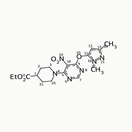 CCOC(=O)C1CCN(c2ncnc(Oc3cc(C)nn3C)c2[N+](=O)[O-])CC1